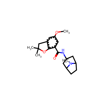 COc1cc2c(c(C(=O)NC3CC4CCC(C3)N4C)c1)OC(C)(C)C2